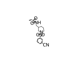 C=CS(=O)(=O)NCC1CCCN(S(=O)(=O)c2cccc(C#N)c2)C1